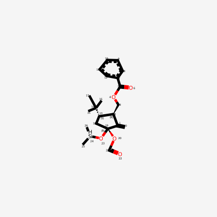 C=C1[C@H](COC(=O)c2ccccc2)[C@@H](C(C)(C)C)C[C@@]1(OC=O)O[SiH](C)C